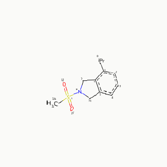 CC(C)c1cccc2c1CN(S(C)(=O)=O)C2